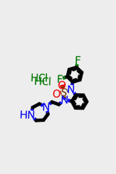 Cl.Cl.O=S1(=O)N(CCN2CCCNCC2)c2ccccc2N1c1ccc(F)cc1F